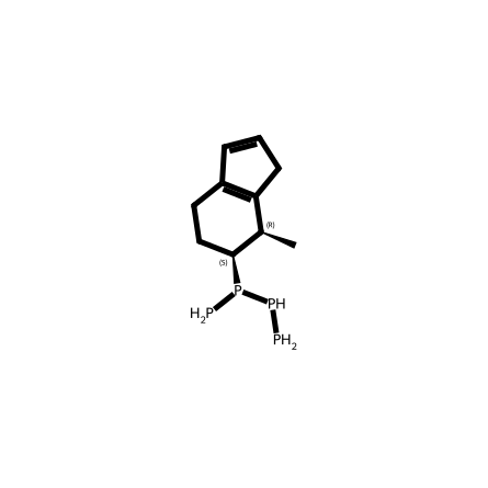 C[C@@H]1C2=C(C=CC2)CC[C@@H]1P(P)PP